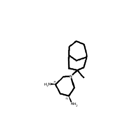 CC1(N2C[C@H](N)C[C@H](N)C2)CC2CCCC(C2)C1